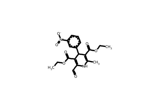 CCOC(=O)C1=C(C)NC(C=O)=C(C(=O)OCC)C1c1cccc([N+](=O)[O-])c1